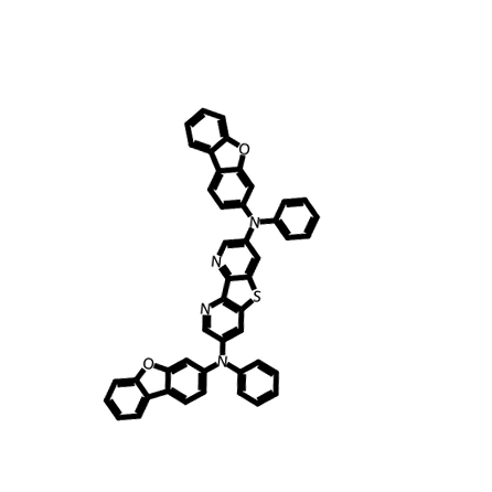 c1ccc(N(c2ccc3c(c2)oc2ccccc23)c2cnc3c(c2)sc2cc(N(c4ccccc4)c4ccc5c(c4)oc4ccccc45)cnc23)cc1